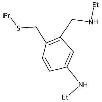 CCNCc1cc(NCC)ccc1CSC(C)C